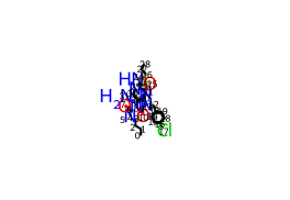 CCCCN(C)C(=O)n1c(=O)n(Cc2ccc(Cl)cc2)c2nc([S@@](=N)(=O)CCC)nc(N)c21